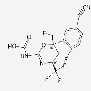 C#Cc1ccc(F)c([C@]2(CF)C[C@@H](C(F)(F)F)N=C(NC(=O)O)O2)c1